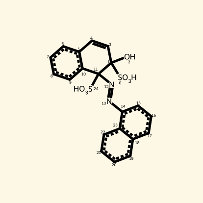 O=S(=O)(O)C1(O)C=Cc2ccccc2C1(N=Nc1cccc2ccccc12)S(=O)(=O)O